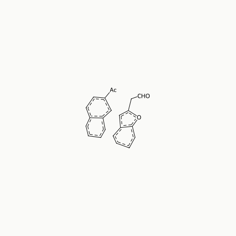 CC(=O)c1ccc2ccccc2c1.O=CCc1cc2ccccc2o1